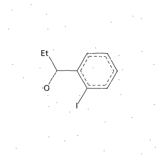 CCC([O])c1ccccc1I